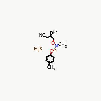 CCCC(CC#N)CON(C)SOc1ccc(C)cc1.S